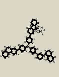 CC1(C)c2ccccc2-c2ccc(-c3ccc(N(c4ccc(-c5cccc(-c6cccc7ccccc67)c5)cc4)c4ccc(-c5ccc6c(ccc7ccccc76)c5)cc4)cc3)cc21